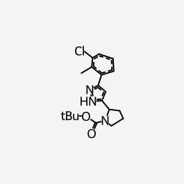 Cc1c(Cl)cccc1-c1cc(C2CCCN2C(=O)OC(C)(C)C)[nH]n1